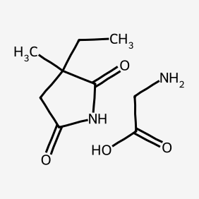 CCC1(C)CC(=O)NC1=O.NCC(=O)O